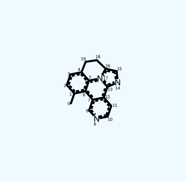 Cc1ccc2c3c1c1cnccc1c1ncc(n13)CC2